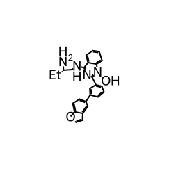 CC[C@H](N)CNc1nc(-c2cc(-c3ccc4occc4c3)ccc2O)nc2ccccc12